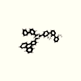 Cc1ccccc1-c1cccc(C2=CC=C(c3nc(-c4cccc(-c5ccccc5)c4)nc(-c4ccc5c(c4)c4c(c6ccccc65)CCC=C4)n3)CC2)c1C